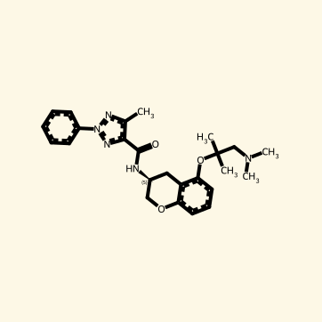 Cc1nn(-c2ccccc2)nc1C(=O)N[C@@H]1COc2cccc(OC(C)(C)CN(C)C)c2C1